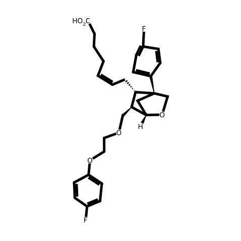 O=C(O)CCC/C=C\C[C@H]1[C@H](COCCOc2ccc(F)cc2)[C@@H]2C[C@@]1(c1ccc(F)cc1)CO2